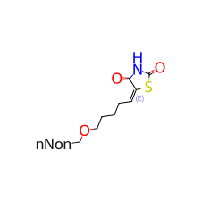 CCCCCCCCCCOCCCC/C=C1/SC(=O)NC1=O